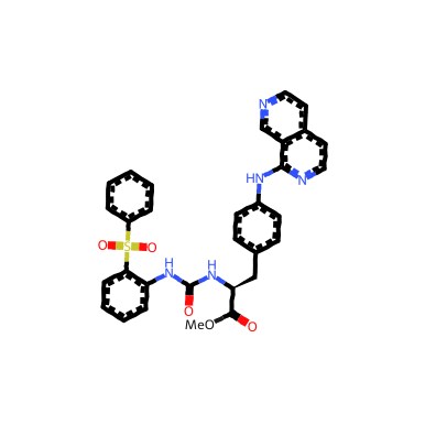 COC(=O)[C@H](Cc1ccc(Nc2nccc3ccncc23)cc1)NC(=O)Nc1ccccc1S(=O)(=O)c1ccccc1